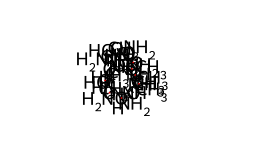 CCCC(C)OC(=O)CCC(=O)N[C@@H](CCN)C(=O)N[C@H](C(=O)N[C@@H](CCN)C(=O)N[C@H]1CCNC(=O)[C@H](C(C)O)NC(=O)[C@H](CCN)NC(=O)[C@H](CCN)NC(=O)[C@H](CC(C)C)NC(=O)[C@@H](CC(C)C)NC(=O)[C@H](CCN)NC1=O)C(C)O